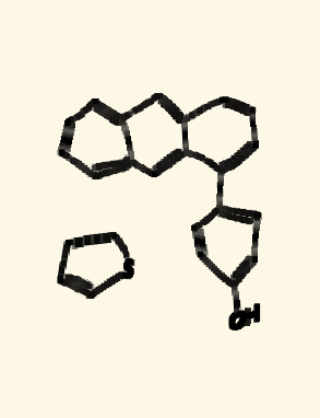 Oc1ccc(-c2cccc3cc4ccccc4cc23)cc1.c1ccsc1